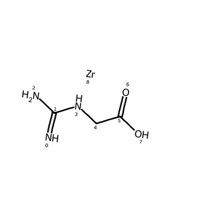 N=C(N)NCC(=O)O.[Zr]